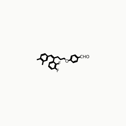 Cc1ccc(C=C(CCCOc2ccc(C=O)cc2)c2cccc(F)c2F)cc1C